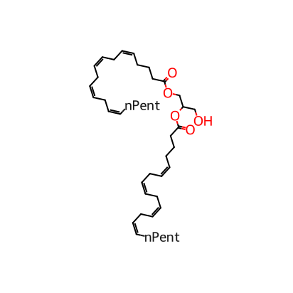 CCCCC/C=C\C/C=C\C/C=C\C/C=C\CCCC(=O)OCC(CO)OC(=O)CCC/C=C\C/C=C\C/C=C\C/C=C\CCCCC